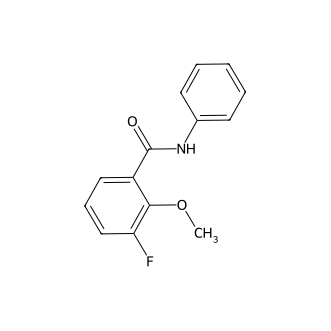 COc1c(F)cccc1C(=O)Nc1ccccc1